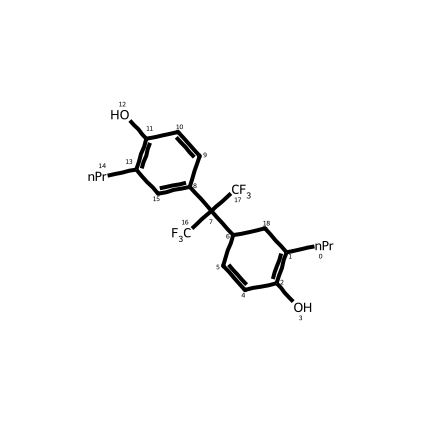 CCCC1=C(O)C=CC(C(c2ccc(O)c(CCC)c2)(C(F)(F)F)C(F)(F)F)C1